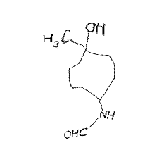 CC1(O)CCC(NC=O)CC1